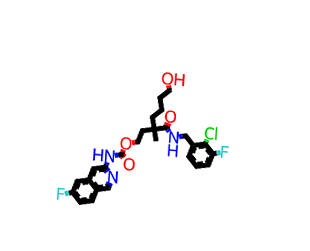 CC(CCCCO)(CCOC(=O)Nc1cc2cc(F)ccc2cn1)C(=O)NCc1cccc(F)c1Cl